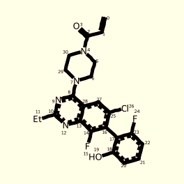 C=CC(=O)N1CCN(c2nc(CC)nc3c(F)c(-c4c(O)cccc4F)c(Cl)cc23)CC1